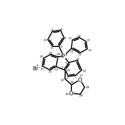 [Br-].c1ccc([P+](c2ccccc2)(c2ccccc2)c2ccccc2CCC2OCCO2)cc1